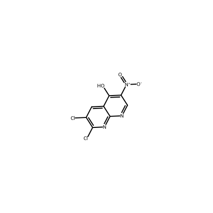 O=[N+]([O-])c1cnc2nc(Cl)c(Cl)cc2c1O